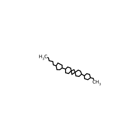 CCCCCC1CCC(C2CCC3(CC2)CC2(CCC(C4CCC(CC)CC4)CC2)C3)CC1